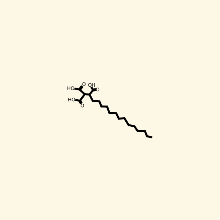 CCCCCCCCCCCCCCC(C(=O)O)C(C(=O)O)C(=O)O